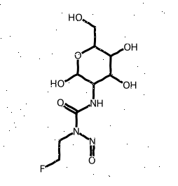 O=NN(CCF)C(=O)NC1C(O)OC(CO)C(O)C1O